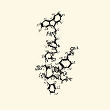 CC[C@H](C)[C@@H](C(=O)N[C@@H](Cc1ccccc1)[C@@H](O)CN(CC(C)C)S(=O)(=O)c1ccc(C=NO)cc1)N1CCN(Cc2csc(CNCC3c4ccccc4-c4ccccc43)n2)C1=O